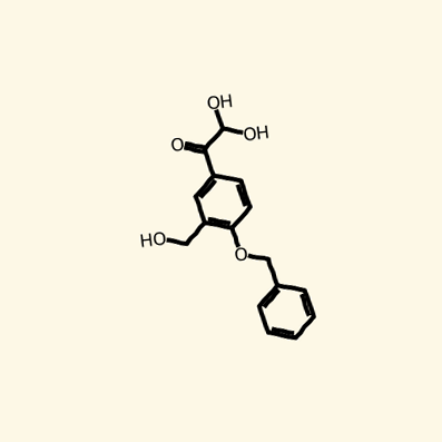 O=C(c1ccc(OCc2ccccc2)c(CO)c1)C(O)O